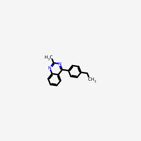 CCc1ccc(-c2nc(C)nc3ccccc23)cc1